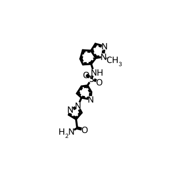 Cn1ncc2cccc(NS(=O)(=O)c3ccc(-n4cc(C(N)=O)cn4)nc3)c21